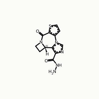 NNC(=O)c1ncn2c1[C@@H]1CCN1C(=O)c1sccc1-2